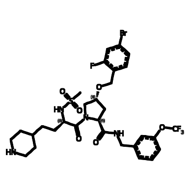 CS(=O)(=O)N[C@H](CCC1CCNCC1)C(=O)N1C[C@H](OCc2ccc(Br)cc2F)C[C@H]1C(=O)NCc1cccc(OC(F)(F)F)c1